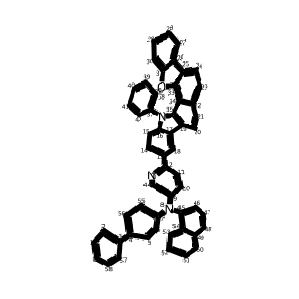 c1ccc(-c2ccc(N(c3ccc(-c4ccc5c(c4)c4ccc6ccc7c8ccccc8oc7c6c4n5-c4ccccc4)nc3)c3cccc4ccccc34)cc2)cc1